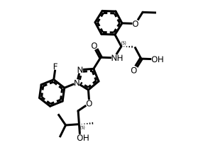 CCOc1ccccc1[C@H](CC(=O)O)NC(=O)c1cc(OC[C@@](C)(O)C(C)C)n(-c2ccccc2F)n1